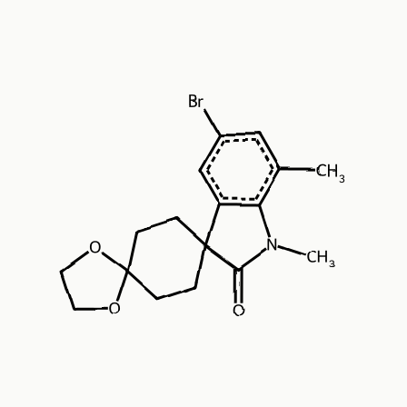 Cc1cc(Br)cc2c1N(C)C(=O)C21CCC2(CC1)OCCO2